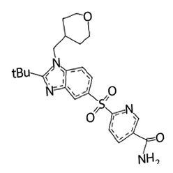 CC(C)(C)c1nc2cc(S(=O)(=O)c3ccc(C(N)=O)cn3)ccc2n1CC1CCOCC1